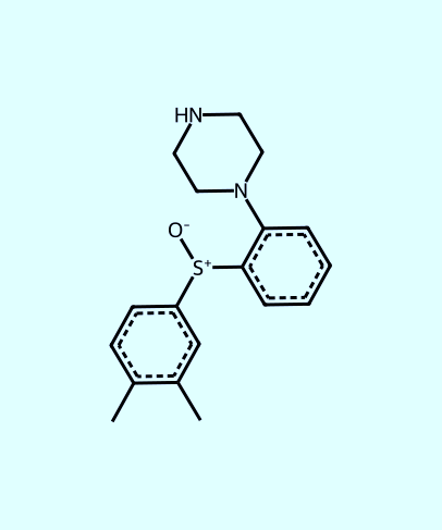 Cc1ccc([S+]([O-])c2ccccc2N2CCNCC2)cc1C